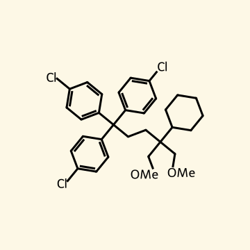 COCC(CCC(c1ccc(Cl)cc1)(c1ccc(Cl)cc1)c1ccc(Cl)cc1)(COC)C1CCCCC1